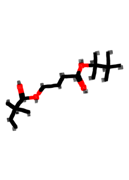 CCC(C)(C)C(=O)OCCCC(=O)OC(C)(C)C(C)(C)C